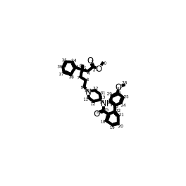 COC(=O)CC(C)(CCCN1CCC(NC(=O)c2ccccc2-c2ccc(OC)cc2)CC1)c1ccccc1